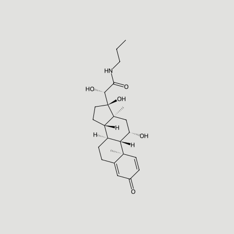 CCCNC(=O)[C@@H](O)[C@@]1(O)CC[C@H]2[C@@H]3CCC4=CC(=O)C=C[C@]4(C)[C@H]3[C@@H](O)C[C@@]21C